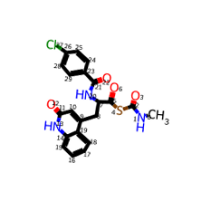 CNC(=O)SC(=O)C(Cc1cc(=O)[nH]c2ccccc12)NC(=O)c1ccc(Cl)cc1